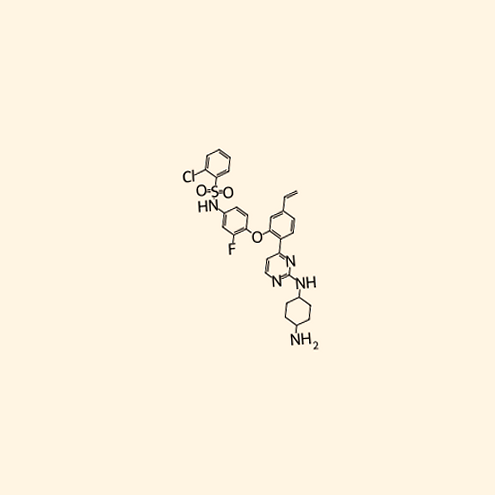 C=Cc1ccc(-c2ccnc(NC3CCC(N)CC3)n2)c(Oc2ccc(NS(=O)(=O)c3ccccc3Cl)cc2F)c1